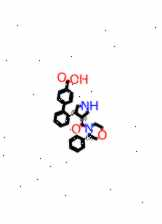 O=C(O)c1ccc(-c2ccccc2[C@@H]2CNC[C@H]2C(=O)N2CCOC[C@@H]2c2ccccc2)cc1